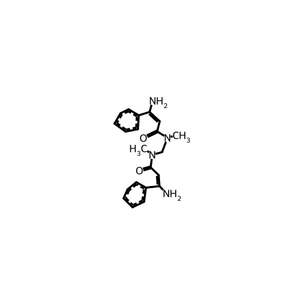 CN(CN(C)C(=O)/C=C(/N)c1ccccc1)C(=O)/C=C(/N)c1ccccc1